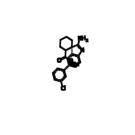 CC(C)(C)OC(=O)C1CCCCC12C(N)=Nc1ccc(-c3cccc(Cl)c3)cc12